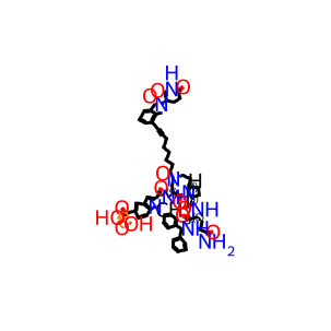 Cn1c(C(=O)N[C@H]2CN(C(=O)CCCCCC#Cc3cccc4c3CN(C3CCC(=O)NC3=O)C4=O)CC[C@H]3CC[C@@H](C(=O)N[C@@H](CCC(N)=O)C(=O)NC(c4ccccc4)c4ccccc4)N3C2=O)cc2cc(C(=O)P(=O)(O)O)ccc21